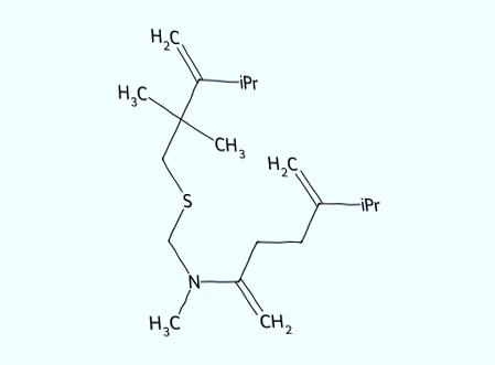 C=C(CCC(=C)N(C)CSCC(C)(C)C(=C)C(C)C)C(C)C